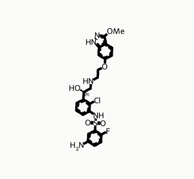 COc1n[nH]c2cc(OCCNC[C@H](O)c3cccc(NS(=O)(=O)c4cc(N)ccc4F)c3Cl)ccc12